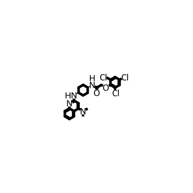 CN(C)c1cc(N[C@H]2CC[C@@H](NC(=O)COc3c(Cl)cc(Cl)cc3Cl)CC2)nc2ccccc12